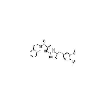 COc1ccc(CC(=O)NC(=N)N[C@H](C)C(=O)N2CCc3ccccc3C2)cc1OC